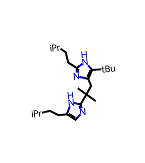 CC(C)CCc1cnc(C(C)(C)Cc2nc(CCC(C)C)[nH]c2C(C)(C)C)[nH]1